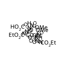 CCOC(=O)COc1ccccc1CC(NC(=O)c1cc(OC)c2ccccc2n1)C(=O)N1CCN(C(=O)OCC)CC1.CCOC(=O)N1CCN(C(=O)C(Cc2ccccc2C(=O)O)NC(=O)c2cc(OC)c3ccccc3n2)CC1